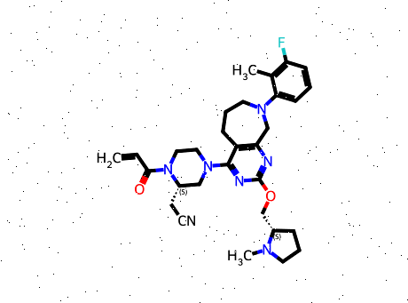 C=CC(=O)N1CCN(c2nc(OC[C@@H]3CCCN3C)nc3c2CCCN(c2cccc(F)c2C)C3)C[C@@H]1CC#N